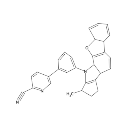 CC1CCC2=C1N(c1cccc(-c3ccc(C#N)nc3)c1)C1C3=C(C=CC21)C1C=CC=CC1O3